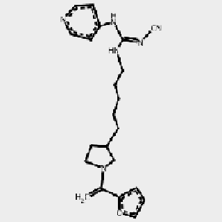 C=C(c1ccco1)N1CCC(CCCCCN/C(=N/C#N)Nc2ccncc2)C1